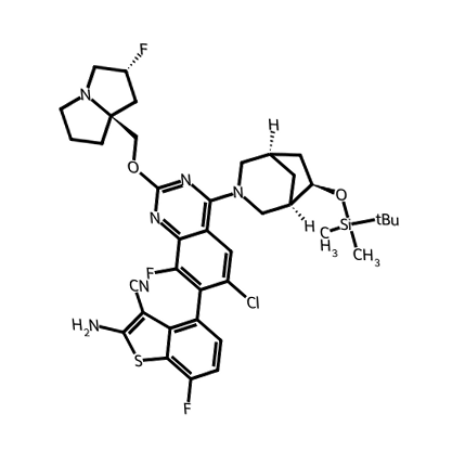 CC(C)(C)[Si](C)(C)O[C@@H]1C[C@H]2C[C@@H]1CN(c1nc(OC[C@@]34CCCN3C[C@H](F)C4)nc3c(F)c(-c4ccc(F)c5sc(N)c(C#N)c45)c(Cl)cc13)C2